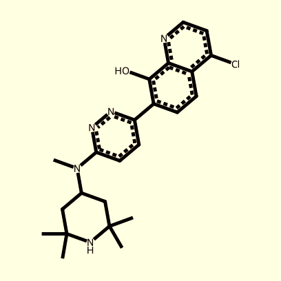 CN(c1ccc(-c2ccc3c(Cl)ccnc3c2O)nn1)C1CC(C)(C)NC(C)(C)C1